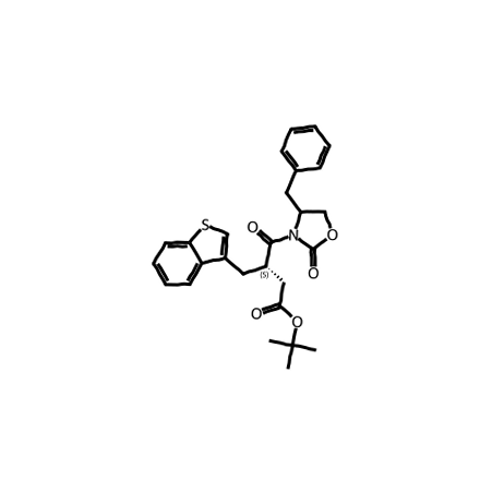 CC(C)(C)OC(=O)C[C@H](Cc1csc2ccccc12)C(=O)N1C(=O)OCC1Cc1ccccc1